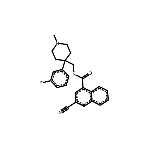 CN1CCC(CNC(=O)c2cc(C#N)cc3ccccc23)(c2cccc(F)c2)CC1